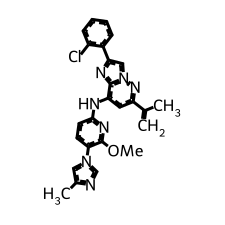 C=C(C)c1cc(Nc2ccc(-n3cnc(C)c3)c(OC)n2)c2nc(-c3ccccc3Cl)cn2n1